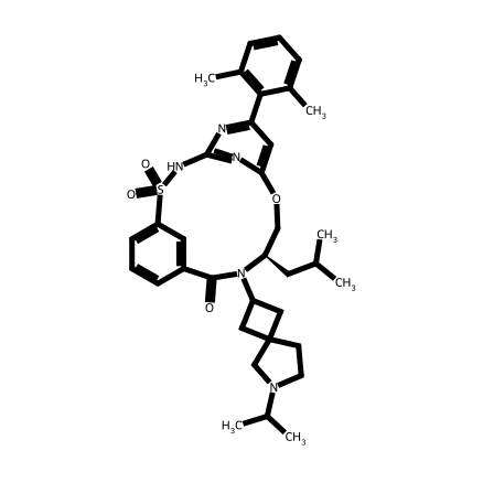 Cc1cccc(C)c1-c1cc2nc(n1)NS(=O)(=O)c1cccc(c1)C(=O)N(C1CC3(CCN(C(C)C)C3)C1)[C@H](CC(C)C)CO2